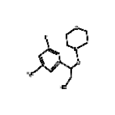 OCC(ON1CCOCC1)c1cc(F)cc(C(F)(F)F)c1